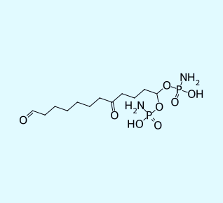 NP(=O)(O)OC(CCCC(=O)CCCCCCC=O)OP(N)(=O)O